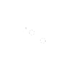 CCCC=C(F)c1ccc(CCc2ccc(CCCC)cc2)cc1